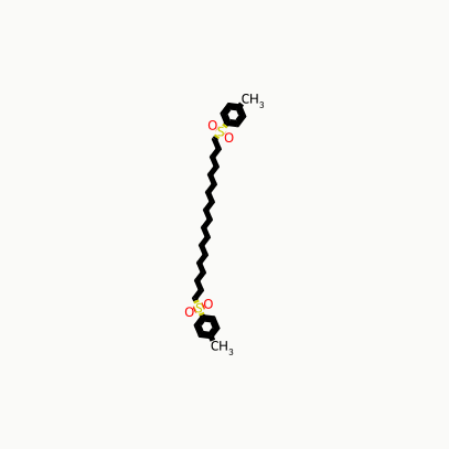 Cc1ccc(S(=O)(=O)CCCCCCCCCCCCCCCCCCCS(=O)(=O)c2ccc(C)cc2)cc1